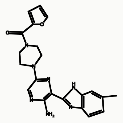 Cc1ccc2nc(-c3nc(N4CCN(C(=O)c5ccco5)CC4)cnc3N)[nH]c2c1